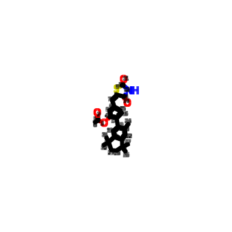 CC(=O)Oc1cc(C=C2SC(=O)NC2=O)ccc1-c1cc2c(cc1C)C(C)(C)CCC2(C)C